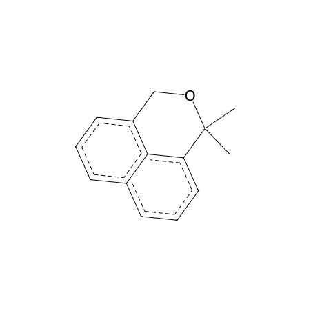 CC1(C)OCc2cccc3cccc1c23